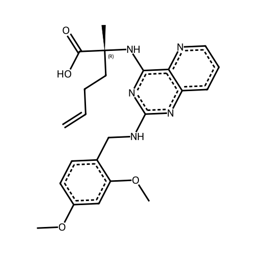 C=CCC[C@@](C)(Nc1nc(NCc2ccc(OC)cc2OC)nc2cccnc12)C(=O)O